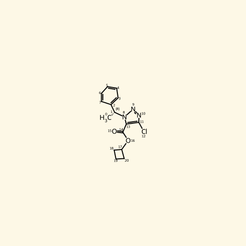 C[C@H](c1ccccc1)n1nnc(Cl)c1C(=O)OC1CCC1